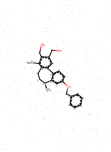 COc1c(CO)c(CO)cc2c1CC[C@H](C)c1cc(OCc3ccccc3)ccc1-2